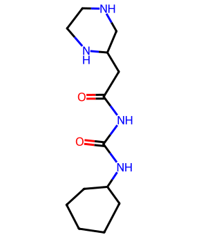 O=C(CC1CNCCN1)NC(=O)NC1CCCCC1